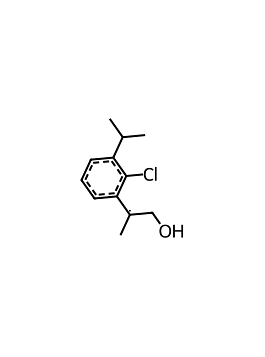 C[C](CO)c1cccc(C(C)C)c1Cl